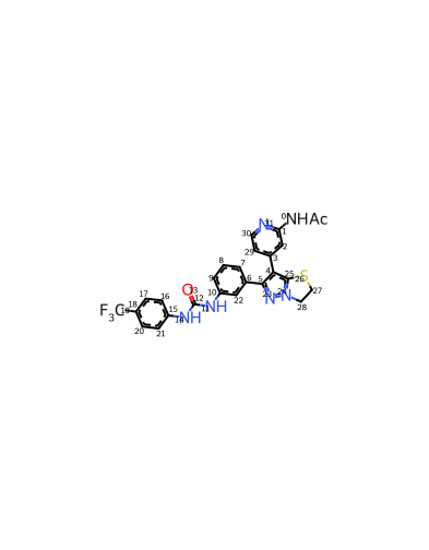 CC(=O)Nc1cc(-c2c(-c3cccc(NC(=O)Nc4ccc(C(F)(F)F)cc4)c3)nn3c2SCC3)ccn1